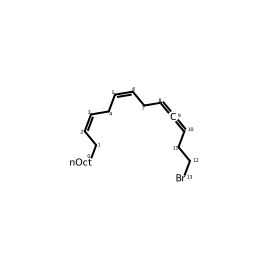 CCCCCCCCC/C=C\C/C=C\CC=C=CCCBr